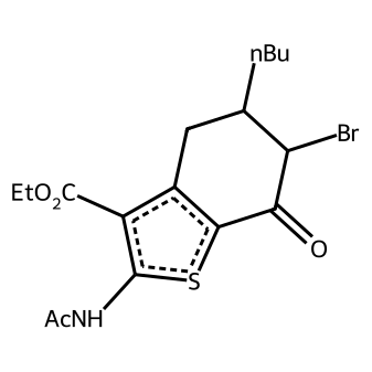 CCCCC1Cc2c(sc(NC(C)=O)c2C(=O)OCC)C(=O)C1Br